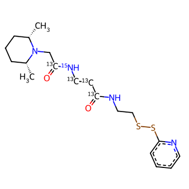 C[C@@H]1CCC[C@H](C)N1C[13C](=O)[15NH][13CH2][13CH2][13C](=O)NCCSSc1ccccn1